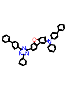 c1ccc(-c2ccc(-c3nc(-c4ccccc4)nc(-c4ccc5c(c4)oc4ccc(N(c6ccccc6)c6ccc(-c7ccccc7)cc6)cc45)n3)cc2)cc1